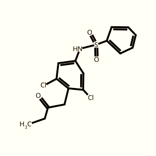 CCC(=O)Cc1c(Cl)cc(NS(=O)(=O)c2ccccc2)cc1Cl